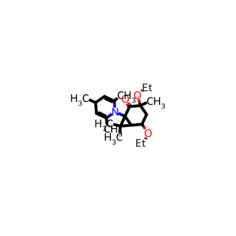 CCOC1CC(C)(OCC)C(=O)C2(N3C(C)=CC(C)C=C3C)C1C2(C)C